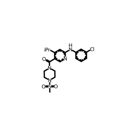 CC(C)c1cc(Nc2cccc(Cl)c2)ncc1C(=O)N1CCN(S(C)(=O)=O)CC1